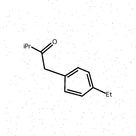 CCc1ccc(CC(=O)C(C)C)cc1